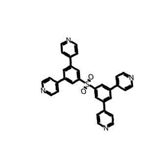 O=S(=O)(c1cc(-c2ccncc2)cc(-c2ccncc2)c1)c1cc(-c2ccncc2)cc(-c2ccncc2)c1